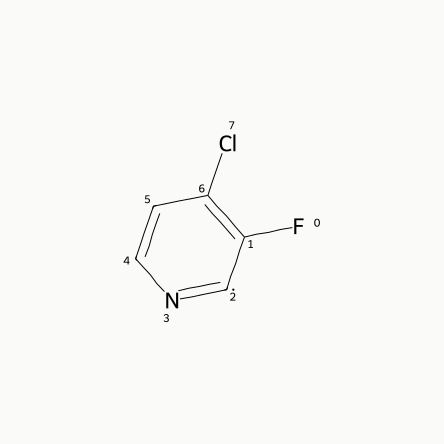 Fc1[c]nccc1Cl